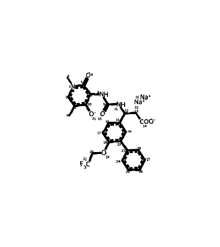 Cc1cn(C)c(=O)c(NC(=O)NC(CC(=O)[O-])c2ccc(OCC(F)(F)F)c(-c3ccccc3)c2)c1[O-].[Na+].[Na+]